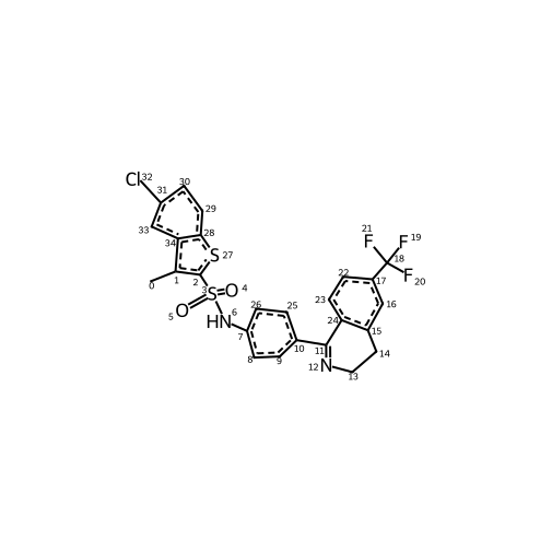 Cc1c(S(=O)(=O)Nc2ccc(C3=NCCc4cc(C(F)(F)F)ccc43)cc2)sc2ccc(Cl)cc12